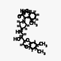 Cc1cc2c(cc1C)OC(C(O)CNC1CCN(C(C(N)=O)c3c(C)cccc3C)CC1)CO2